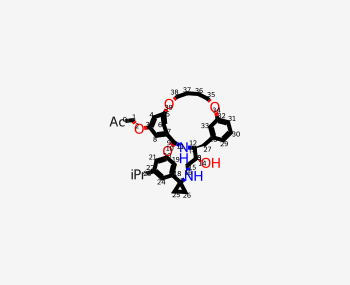 CC(=O)COc1cc2cc(c1)C(=O)N[C@H]([C@H](O)CNC1(c3cccc(C(C)C)c3)CC1)Cc1cccc(c1)OCCCCO2